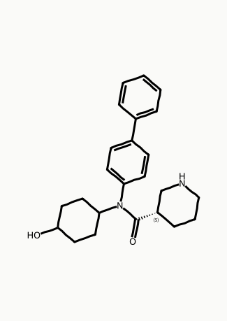 O=C([C@H]1CCCNC1)N(c1ccc(-c2ccccc2)cc1)C1CCC(O)CC1